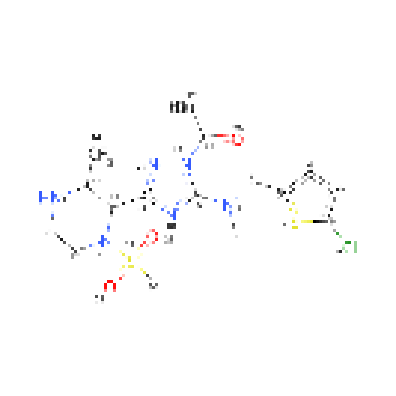 CN(Cc1ccc(Cl)s1)c1nc(C2C(C(F)(F)F)NCCN2S(C)(=O)=O)nn1C(=O)C(C)(C)C